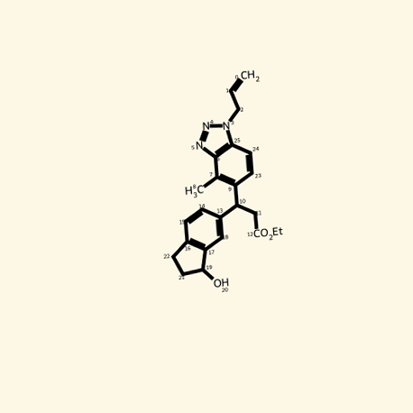 C=CCn1nnc2c(C)c(C(CC(=O)OCC)c3ccc4c(c3)C(O)CC4)ccc21